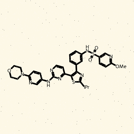 COc1ccc(S(=O)(=O)Nc2cccc(-c3nc(C(C)C)sc3-c3ccnc(Nc4ccc(N5CCOCC5)nc4)n3)c2)cn1